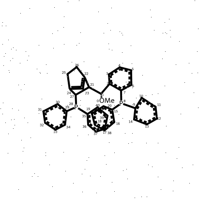 CO[C@@H](c1ccccc1P(c1ccccc1)c1ccccc1)C1C2=C=C(CC2)C1P(c1ccccc1)c1ccccc1